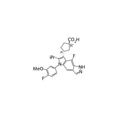 COc1cc(-n2c(C(C)C)c([C@@H]3CC[C@@](C)(C(=O)O)C3)c3c(F)c4[nH]ncc4cc32)ccc1F